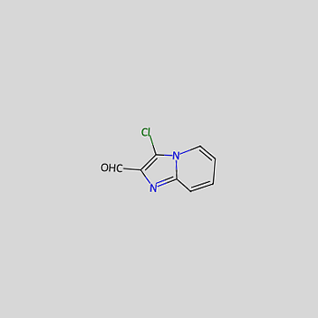 O=Cc1nc2ccccn2c1Cl